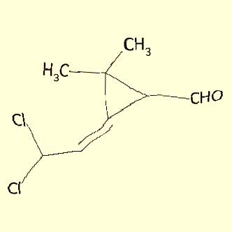 CC1(C)C(=CC(Cl)Cl)C1C=O